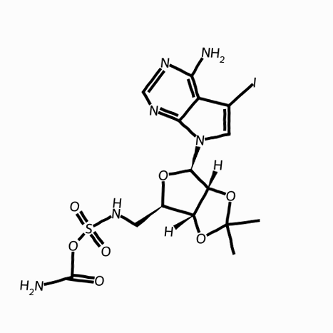 CC1(C)O[C@@H]2[C@H](O1)[C@@H](CNS(=O)(=O)OC(N)=O)O[C@H]2n1cc(I)c2c(N)ncnc21